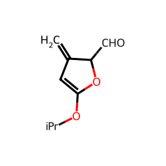 C=C1C=C(OC(C)C)OC1C=O